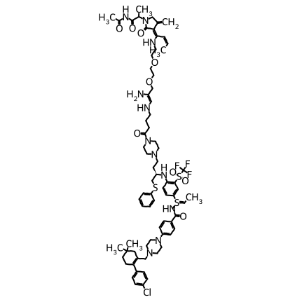 C=C1CN(C(C)C(=O)NC(C)=O)C(=O)/C1=C(/C=C\C)NCCOCCOC/C(N)=C/NCCCC(=O)N1CCN(CC[C@H](CSc2ccccc2)Nc2ccc(/S(=C\C)NC(=O)c3ccc(N4CCN(CC5=C(c6ccc(Cl)cc6)CCC(C)(C)C5)CC4)cc3)cc2S(=O)(=O)C(F)(F)F)CC1